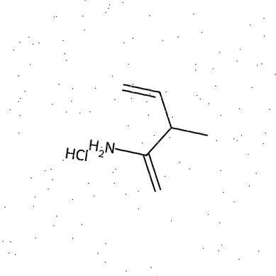 C=CC(C)C(=C)N.Cl